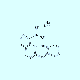 [Na+].[Na+].[O-]B([O-])c1cccc2ccc3cc4ccccc4cc3c12